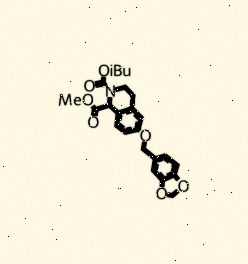 COC(=O)C1c2ccc(OCc3ccc4c(c3)OCO4)cc2CCN1C(=O)OCC(C)C